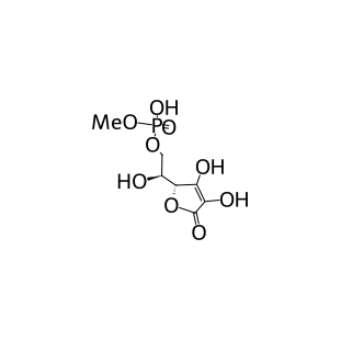 COP(=O)(O)OC[C@H](O)[C@H]1OC(=O)C(O)=C1O